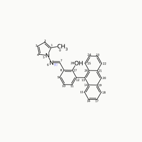 Cc1cccn1/N=C/c1cccc(-c2c3ccccc3cc3ccccc23)c1O